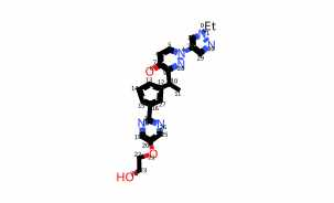 CCn1cc(-n2ccc(=O)c(C(C)c3cccc(-c4ncc(OCCO)cn4)c3)n2)cn1